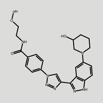 CCCOCCNC(=O)c1ccc(-n2cc(-c3n[nH]c4ccc(N5CCCC(O)C5)cc34)nn2)cc1